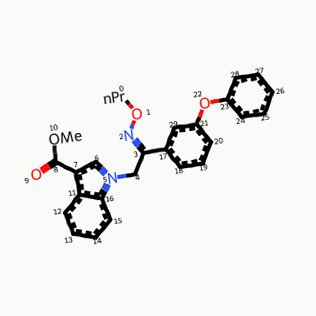 CCCON=C(Cn1cc(C(=O)OC)c2ccccc21)c1cccc(Oc2ccccc2)c1